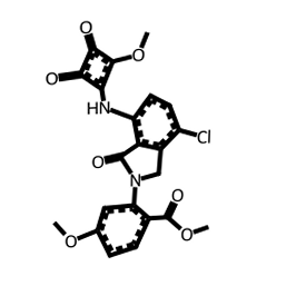 COC(=O)c1ccc(OC)cc1N1Cc2c(Cl)ccc(Nc3c(OC)c(=O)c3=O)c2C1=O